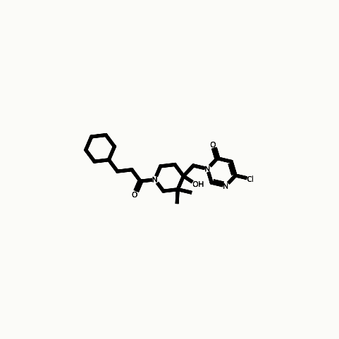 CC1(C)CN(C(=O)CCC2CCCCC2)CCC1(O)Cn1cnc(Cl)cc1=O